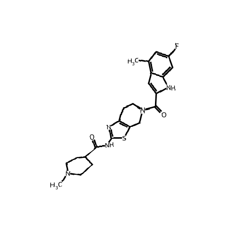 Cc1cc(F)cc2[nH]c(C(=O)N3CCc4nc(NC(=O)C5CCN(C)CC5)sc4C3)cc12